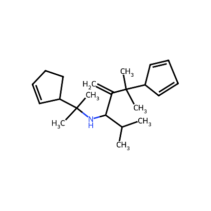 C=C(C(NC(C)(C)C1C=CCC1)C(C)C)C(C)(C)C1C=CC=C1